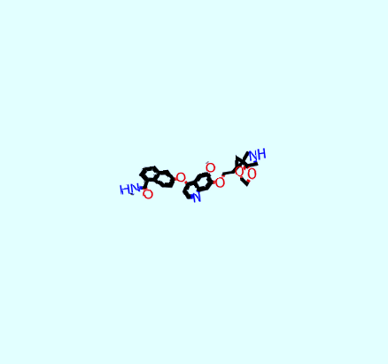 CNC(=O)c1cccc2cc(Oc3ccnc4cc(OCCC5CC56CNCC65OCCO5)c(OC)cc34)ccc12